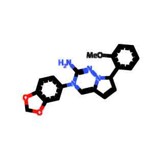 COc1ccccc1C1C=CC2=CN(c3ccc4c(c3)OCO4)C(N)=NN21